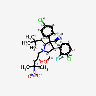 CC(C)(C)C[C@@H]1N(CCCC(C)(C)[N+](=O)[O-])[C@@H](CO)[C@H](c2cccc(Cl)c2F)[C@@]1(C#N)c1ccc(Cl)cc1F